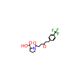 O=C(CCC(=O)N1CCC[C@H]1C(=O)O)CCc1ccc(C(F)(F)F)cc1